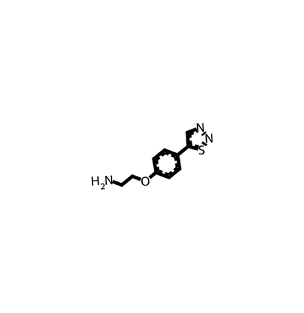 NCCOc1ccc(-c2cnns2)cc1